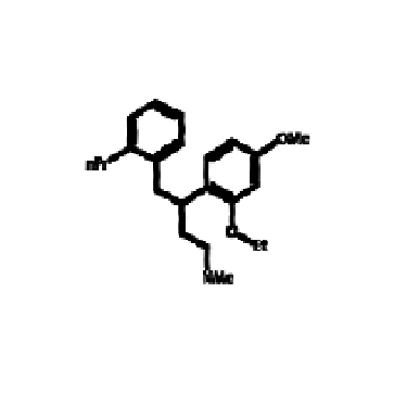 CCCc1ccccc1CC(CCNC)c1ccc(OC)cc1OCC